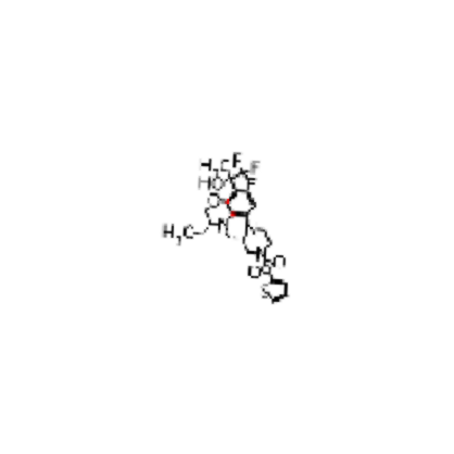 CC[C@@H]1COCCN1C[C@H]1CN(S(=O)(=O)c2cccs2)CCN1c1ccc([C@](C)(O)C(F)(F)F)cc1